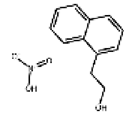 O=[N+]([O-])O.OCCc1cccc2ccccc12